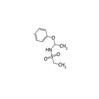 CCS(=O)(=O)NC(C)Oc1cc[c]cc1